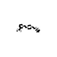 COC(=O)C1=CCCN(CCN2CCN(CCO[Si](C)(C)C(C)(C)C)CC2)C1